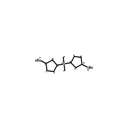 CCCCC1CCC(S(C)(C)C2CCC(CCCC)C2)C1